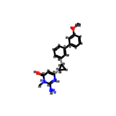 CCOc1cccc(-c2cccc([C@@H]3C[C@@H]3c3cc(=O)n(C)c(N)n3)c2)c1